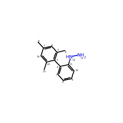 Cc1cc(C)c(-c2ccccc2NN)c(C)c1